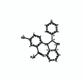 NC(=O)c1nc(O)ncc1N1c2ccccc2NC1c1ccncc1